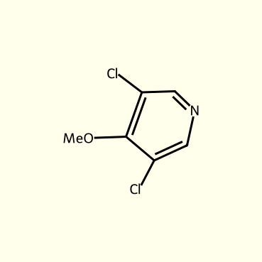 COc1c(Cl)cncc1Cl